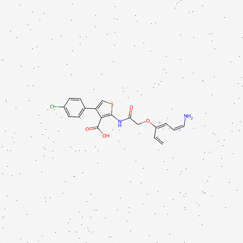 C=C/C(=C\C=C/N)OCC(=O)Nc1scc(-c2ccc(Cl)cc2)c1C(=O)O